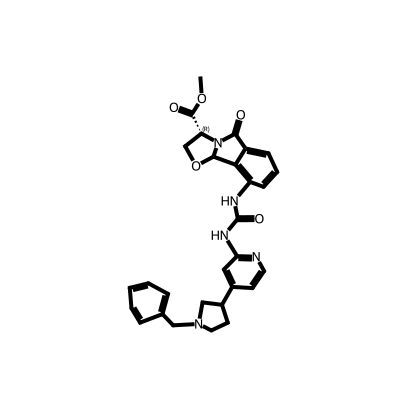 COC(=O)[C@H]1COC2c3c(NC(=O)Nc4cc(C5CCN(Cc6ccccc6)C5)ccn4)cccc3C(=O)N21